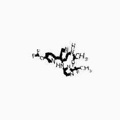 CC(=O)Nc1cc(Nc2ccnc(C(C)(F)F)n2)c(-c2ccc(OC(F)F)cn2)cn1